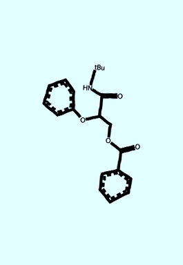 CC(C)(C)NC(=O)C(COC(=O)c1ccccc1)Oc1ccccc1